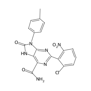 Cc1ccc(-n2c(=O)[nH]c3c(C(N)=O)nc(-c4c(Cl)cccc4[N+](=O)[O-])nc32)cc1